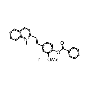 COc1cc(C=Cc2ccc3ccccc3[n+]2C)ccc1OC(=O)c1ccccc1.[I-]